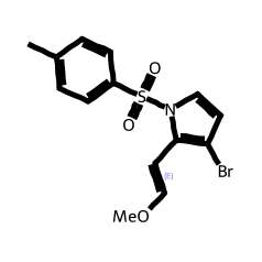 CO/C=C/c1c(Br)ccn1S(=O)(=O)c1ccc(C)cc1